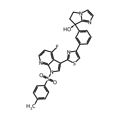 Cc1ccc(S(=O)(=O)n2cc(-c3nc(-c4cccc([C@]5(O)CCn6ccnc65)c4)cs3)c3c(F)ccnc32)cc1